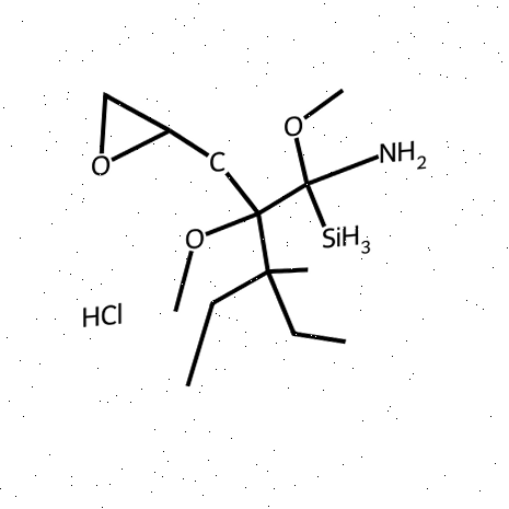 CCC(C)(CC)C(CC1CO1)(OC)C(N)([SiH3])OC.Cl